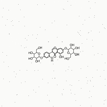 O=c1c(-c2ccc(OC3OC(CO)C(O)C(O)C3O)cc2O)coc2cc(OC3OC(CO)C(O)C(O)C3O)cc(O)c12